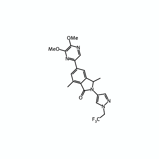 COc1ncc(-c2cc(C)c3c(c2)C(C)N(c2cnn(CC(F)(F)F)c2)C3=O)nc1OC